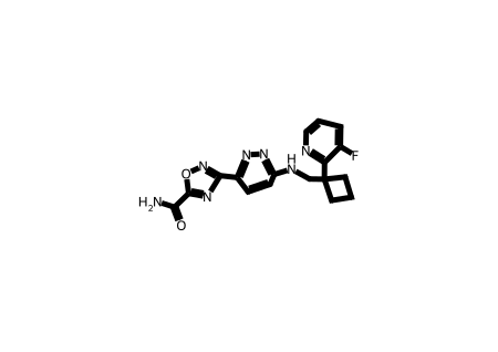 NC(=O)c1nc(-c2ccc(NCC3(c4ncccc4F)CCC3)nn2)no1